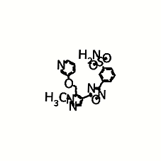 Cn1ncc(-c2nc(-c3cccc(S(N)(=O)=O)c3)no2)c1COc1cccnc1